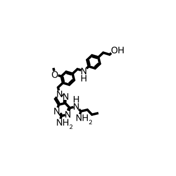 CCCC(N)Nc1nc(N)nc2cn(Cc3ccc(CNc4ccc(CCO)cc4)cc3OC)nc12